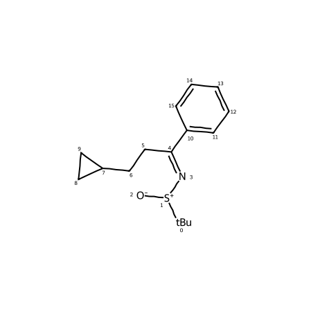 [CH2]C(C)(C)[S+]([O-])N=C(CCC1CC1)c1ccccc1